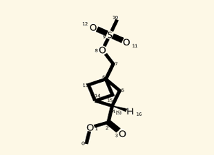 COC(=O)[C@H]1CC2(COS(C)(=O)=O)CC1C2